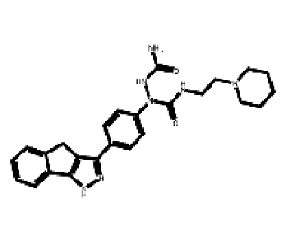 NC(=O)NN(C(=O)NCCN1CCCCC1)c1ccc(-c2n[nH]c3c2Cc2ccccc2-3)cc1